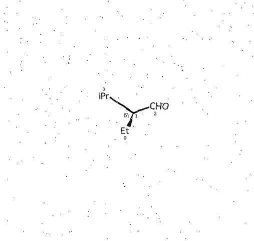 CC[C@H](C=O)C(C)C